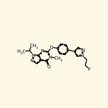 CC(C)n1ncc2c(=O)n(C)c(Oc3ccc(-c4cnn(CCF)c4)cc3)nc21